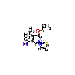 CCOc1cncc(CC)c1C.I.c1cscn1